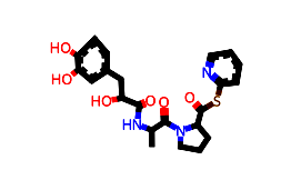 CC(NC(=O)C(O)Cc1ccc(O)c(O)c1)C(=O)N1CCCC1C(=O)Sc1ccccn1